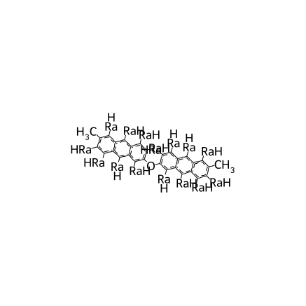 Cc1[c]([RaH])[c]([RaH])c2[c]([RaH])c3[c]([RaH])c(Oc4[c]([RaH])[c]([RaH])c5[c]([RaH])c6[c]([RaH])c(C)[c]([RaH])[c]([RaH])c6[c]([RaH])c5[c]4[RaH])[c]([RaH])[c]([RaH])c3[c]([RaH])c2[c]1[RaH]